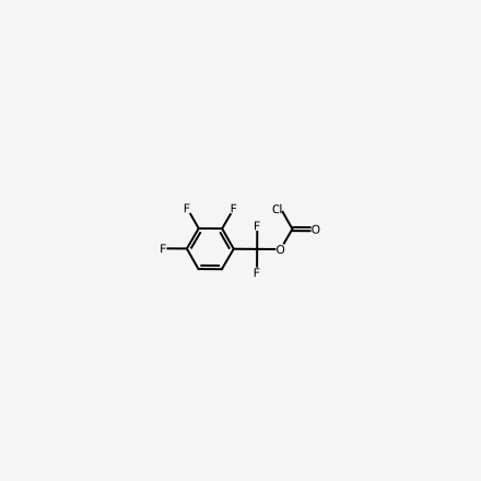 O=C(Cl)OC(F)(F)c1ccc(F)c(F)c1F